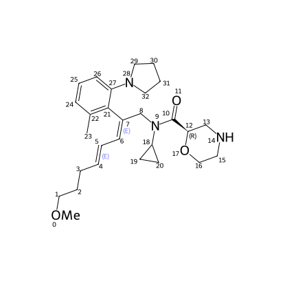 COCCC/C=C/C=C(/CN(C(=O)[C@H]1CNCCO1)C1CC1)c1c(C)cccc1N1CCCC1